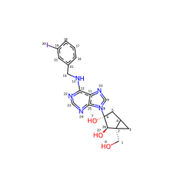 OC[C@@]12CC1C[C@](O)(n1cnc3c(NCc4cccc(I)c4)ncnc31)[C@@H]2O